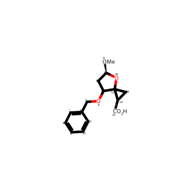 CO[C@@H]1CC(OCc2ccccc2)C2(CC2C(=O)O)O1